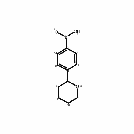 OB(O)c1ccc(C2CCCCO2)cc1